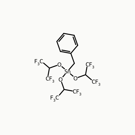 FC(F)(F)C([O][Sn]([CH2]c1ccccc1)([O]C(C(F)(F)F)C(F)(F)F)[O]C(C(F)(F)F)C(F)(F)F)C(F)(F)F